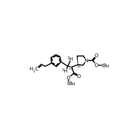 [2H]C([2H])(c1cccc(CC=C)c1)[C@H](C(=O)OC(C)(C)C)[C@H]1CCN(C(=O)OC(C)(C)C)C1